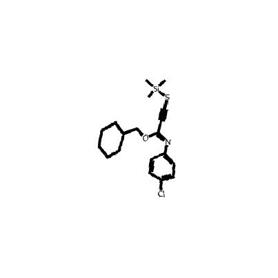 C[Si](C)(C)SC#C/C(=N/c1ccc(Cl)cc1)OCC1CCCCC1